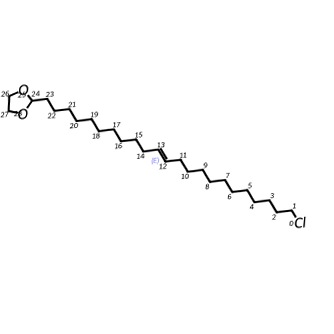 ClCCCCCCCCCCC/C=C/CCCCCCCCCCC1OCCO1